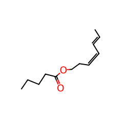 C/C=C/C=C\CCOC(=O)CCCC